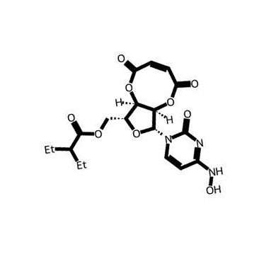 CCC(CC)C(=O)OC[C@H]1O[C@@H](n2ccc(NO)nc2=O)[C@@H]2OC(=O)/C=C\C(=O)O[C@@H]21